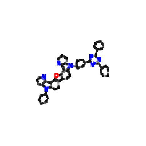 c1ccc(-c2nc(-c3ccccc3)nc(-c3ccc(-n4c5cccnc5c5c6oc7c(ccc8c7c7ncccc7n8-c7ccccc7)c6ccc54)cc3)n2)cc1